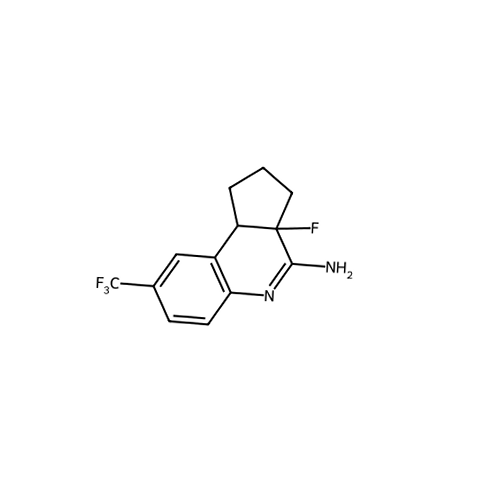 NC1=Nc2ccc(C(F)(F)F)cc2C2CCCC12F